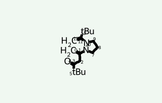 C=C(CC(=O)C(C)(C)C)N1CCCN1C(=C)C(C)(C)C